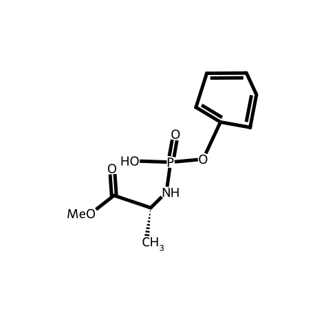 COC(=O)[C@@H](C)NP(=O)(O)Oc1ccccc1